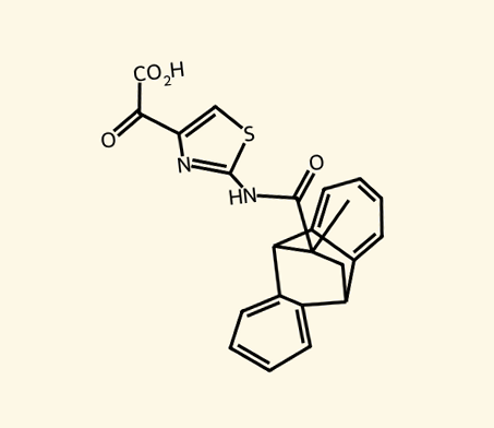 CC1(C(=O)Nc2nc(C(=O)C(=O)O)cs2)CC2c3ccccc3C1c1ccccc12